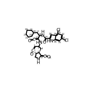 O=C=CC(C[C@@H]1CCNC1=C=O)NC(=C=O)C(CC1CCCCC1)NC(=O)c1cc2c(Cl)cc(Cl)cc2[nH]1